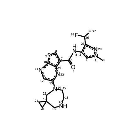 Cn1cc(NC(=O)c2csc3ncc(N4CCNCC5(CC5)C4)nc23)c(C(F)F)n1